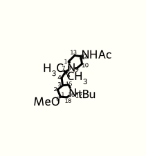 COC1CC(CC(C)(C)N2CCC(NC(C)=O)CC2)CN(C(C)(C)C)C1